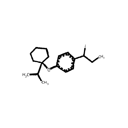 CCC(I)c1ccc(OC2(C(C)C)CCCCC2)cc1